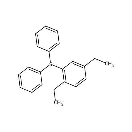 CCc1ccc(CC)c([S+](c2ccccc2)c2ccccc2)c1